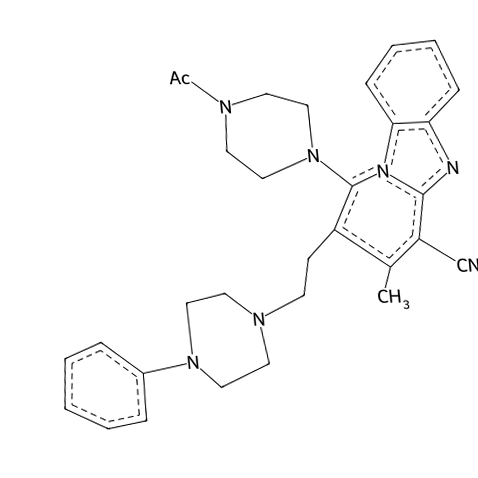 CC(=O)N1CCN(c2c(CCN3CCN(c4ccccc4)CC3)c(C)c(C#N)c3nc4ccccc4n23)CC1